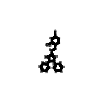 Fc1ccc(CSC2=N[C@@H](c3ccccc3)C(c3ccccc3)N2)c(Cl)c1